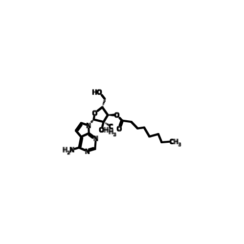 CCCCCCCC(=O)O[C@@H]1[C@@H](CO)O[C@@H](n2ccc3c(N)ncnc32)[C@]1(C)O